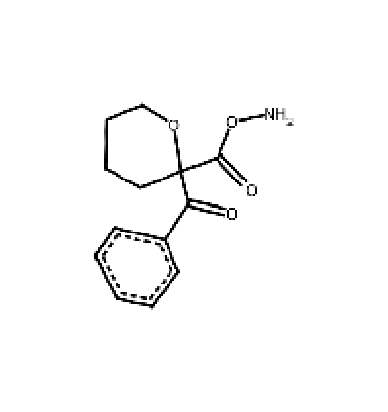 NOC(=O)C1(C(=O)c2ccccc2)CCCCO1